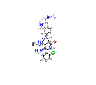 CC(C)Nc1nc(-c2cccc(CN(C)CCN)c2)cc(C(=O)N(C)Cc2ccccc2Cl)c1CN